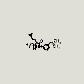 CNC(CCC1CC1)C(=O)Nc1cccc(CN(C)C)c1